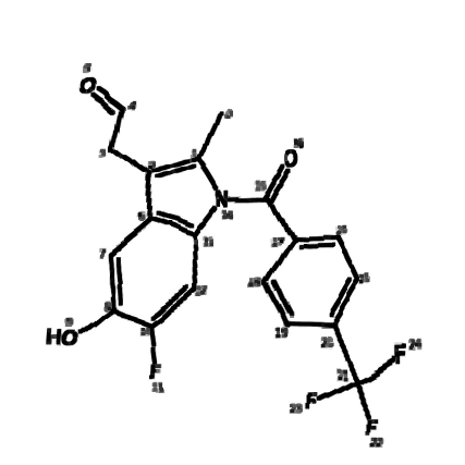 Cc1c(CC=O)c2cc(O)c(F)cc2n1C(=O)c1ccc(C(F)(F)F)cc1